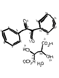 O.O=C(C(=O)c1ccccc1)c1ccccc1.O=C(O)C(O)C(O)C(=O)O